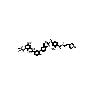 COc1cc(Nc2ncc3cc(-c4cc(C(=O)Nc5cc(C(C)(C)C)cc(NS(C)(=O)=O)c5OC)ccc4C)ccc3n2)ccc1C(=O)NCCC1CCN(C)CC1